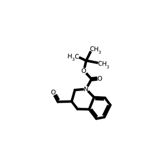 CC(C)(C)OC(=O)N1CC(C=O)Cc2ccccc21